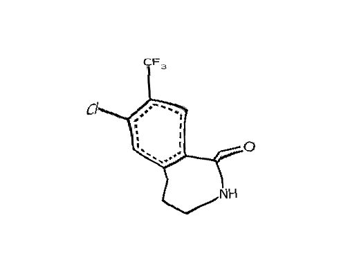 O=C1NCCc2cc(Cl)c(C(F)(F)F)cc21